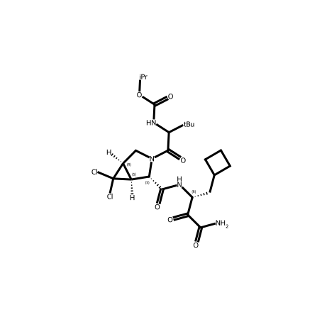 CC(C)OC(=O)NC(C(=O)N1C[C@H]2[C@@H]([C@H]1C(=O)N[C@H](CC1CCC1)C(=O)C(N)=O)C2(Cl)Cl)C(C)(C)C